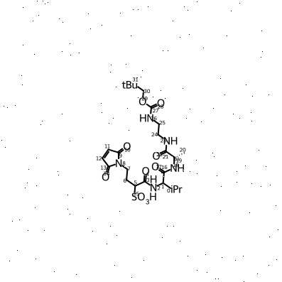 CC(C)C(NC(=O)C(CCN1C(=O)C=CC1=O)S(=O)(=O)O)C(=O)N[C@@H](C)C(=O)NCCNC(=O)OCC(C)(C)C